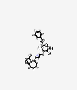 O=C(N[C@@H](C/C=C/C[C@H]1CCCCc2noc(=O)n21)C(=O)O)OCc1ccccc1